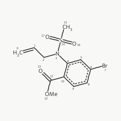 C=CCN(c1cc(Br)ccc1C(=O)OC)S(C)(=O)=O